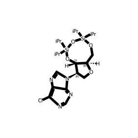 CC(C)[Si]1(C(C)C)OC[C@H]2OC[C@@H](n3cnc4c(Cl)ncnc43)[C@@H]2O[Si](C(C)C)(C(C)C)O1